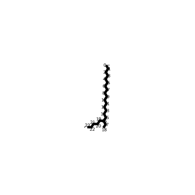 [CH2]CCCCCCCCCCCCCCCC(CC)CCCC[CH2]